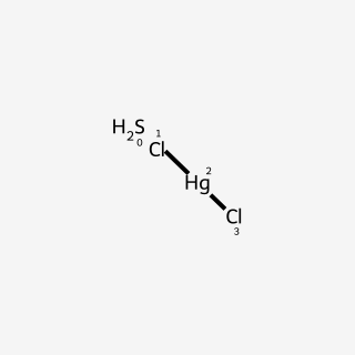 S.[Cl][Hg][Cl]